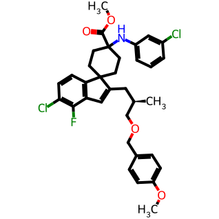 COC(=O)C1(Nc2cccc(Cl)c2)CCC2(CC1)C(C[C@@H](C)COCc1ccc(OC)cc1)=Cc1c2ccc(Cl)c1F